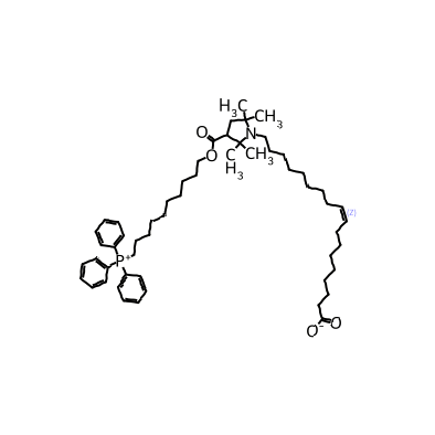 CC1(C)CC(C(=O)OCCCCCCCCCC[P+](c2ccccc2)(c2ccccc2)c2ccccc2)C(C)(C)N1CCCCCCCC/C=C\CCCCCCCC(=O)[O-]